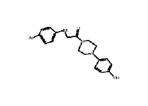 CC(=O)c1ccc(NCC(=O)N2CCN(c3ccc(O)cc3)CC2)cc1